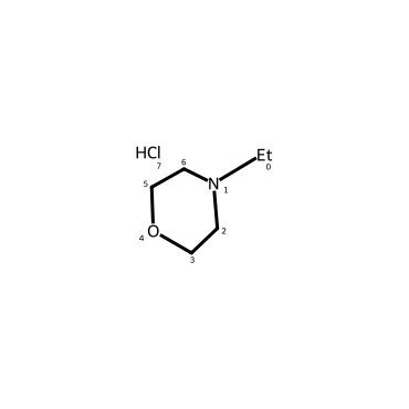 CCN1CCOCC1.Cl